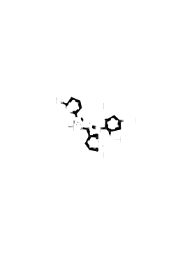 Cc1cc(C)c(-n2nc(NS(=O)(=O)c3cccc(N)n3)c3ccc(C(C)(C)C)nc32)c(C)c1